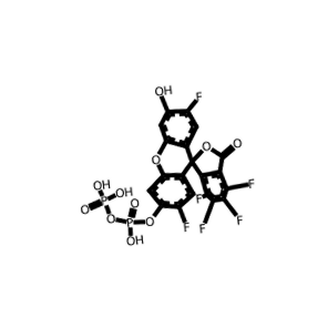 O=C1OC2(c3cc(F)c(O)cc3Oc3cc(OP(=O)(O)OP(=O)(O)O)c(F)cc32)c2c(F)c(F)c(F)c(F)c21